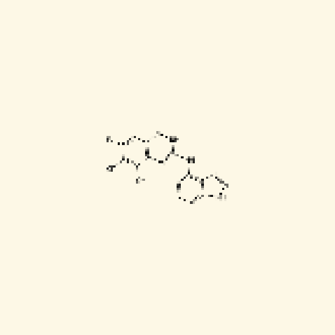 Oc1c(Cl)c(F)cc2c1N=C(Nc1cccc3[nH]ncc13)NS2